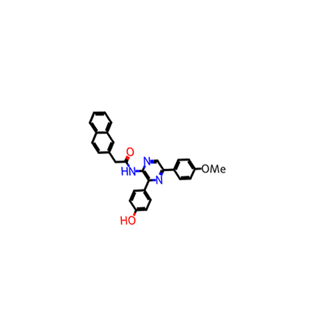 COc1ccc(-c2cnc(NC(=O)Cc3ccc4ccccc4c3)c(-c3ccc(O)cc3)n2)cc1